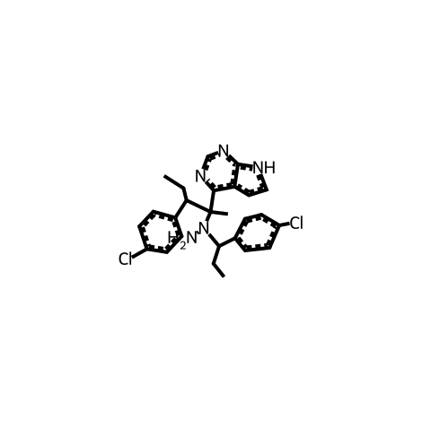 CCC(c1ccc(Cl)cc1)N(N)C(C)(c1ncnc2[nH]ccc12)C(CC)c1ccc(Cl)cc1